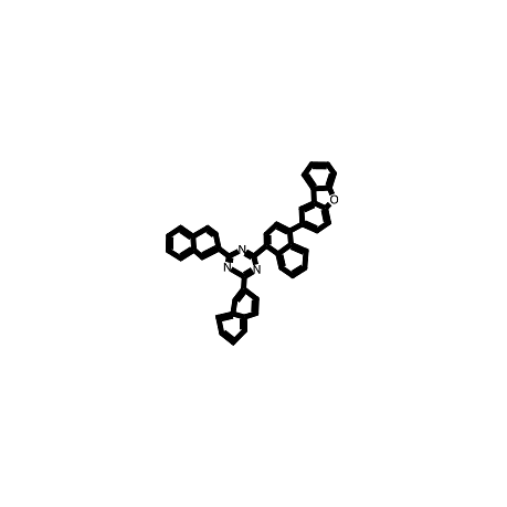 c1ccc2cc(-c3nc(-c4ccc5ccccc5c4)nc(-c4ccc(-c5ccc6oc7ccccc7c6c5)c5ccccc45)n3)ccc2c1